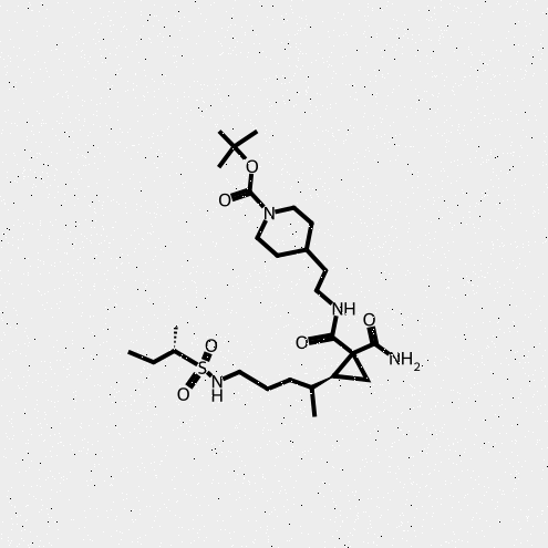 CC[C@H](C)S(=O)(=O)NCCCC(C)[C@@H]1CC1(C(N)=O)C(=O)NCCC1CCN(C(=O)OC(C)(C)C)CC1